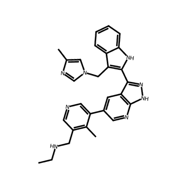 CCNCc1cncc(-c2cnc3[nH]nc(-c4[nH]c5ccccc5c4Cn4cnc(C)c4)c3c2)c1C